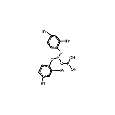 CC(C)c1ccc(OP(Oc2ccc(C(C)C)cc2C(C)C)OP(O)O)c(C(C)C)c1